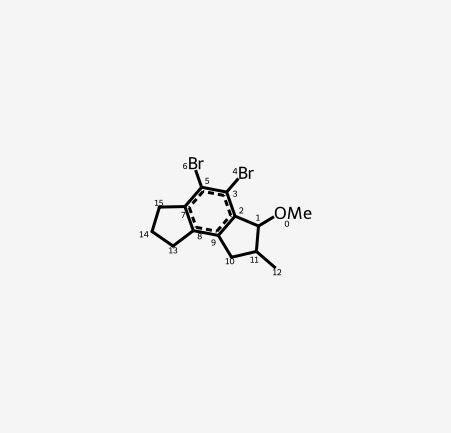 COC1c2c(Br)c(Br)c3c(c2CC1C)CCC3